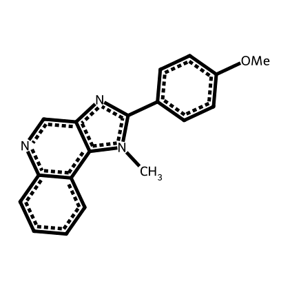 COc1ccc(-c2nc3cnc4ccccc4c3n2C)cc1